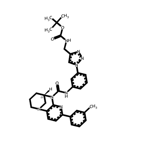 Cc1cccc(-c2ccc3c(n2)N(C(=O)Nc2cccc(-n4cc(CNC(=O)OC(C)(C)C)nn4)c2)[C@H]2CCCN3C2)c1